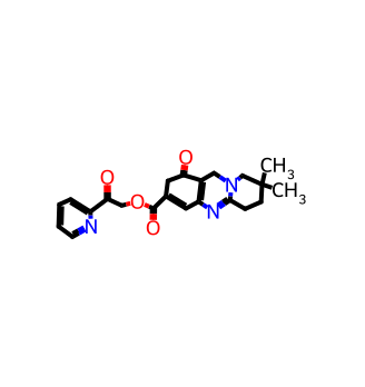 CC1(C)CCC2=NC3=C(CN2C1)C(=O)CC(C(=O)OCC(=O)c1ccccn1)=C3